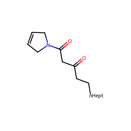 CCCCCCCCCC(=O)CC(=O)N1CC=CC1